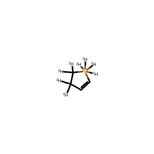 [2H]C1([2H])C=CS([2H])([2H])([2H])([2H])C1([2H])[2H]